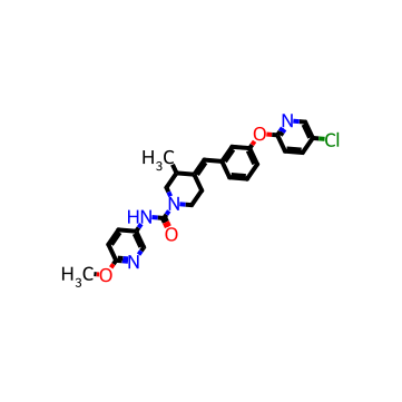 COc1ccc(NC(=O)N2CCC(=Cc3cccc(Oc4ccc(Cl)cn4)c3)C(C)C2)cn1